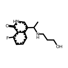 CC(NCCCO)c1c[nH]c(=O)c2c(F)cccc12